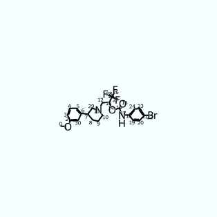 COc1cccc(C2CCCN(C[C@H](OC(=O)Nc3ccc(Br)cc3)C(F)(F)F)C2)c1